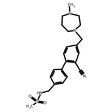 CN1CCCN(Cc2ccc(-c3ccc(CNS(C)(=O)=O)cc3)c(C#N)c2)CC1